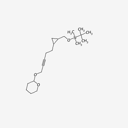 CC(C)(C)[Si](C)(C)OCC1CC1CCC#CCOC1CCCCO1